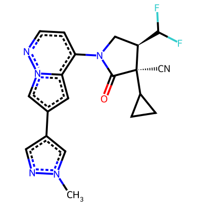 Cn1cc(-c2cc3c(N4C[C@@H](C(F)F)[C@@](C#N)(C5CC5)C4=O)ccnn3c2)cn1